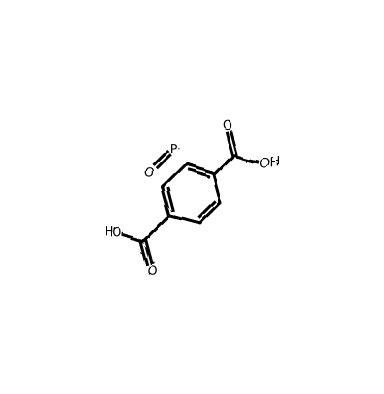 O=C(O)c1ccc(C(=O)O)cc1.O=[P]